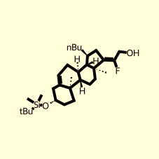 CCCC[C@H]1CC(=C(F)CO)[C@@]2(C)CC[C@H]3[C@@H](CC=C4C[C@@H](O[Si](C)(C)C(C)(C)C)CC[C@@]43C)[C@H]12